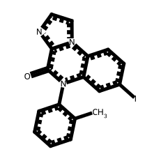 Cc1ccccc1-n1c(=O)c2nccn2c2ccc(I)cc21